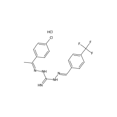 CC(=NNC(=N)NN=Cc1ccc(C(F)(F)F)cc1)c1ccc(Cl)cc1.Cl